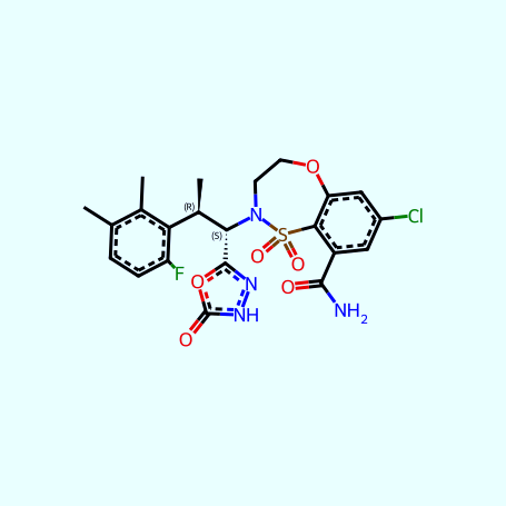 Cc1ccc(F)c([C@@H](C)[C@@H](c2n[nH]c(=O)o2)N2CCOc3cc(Cl)cc(C(N)=O)c3S2(=O)=O)c1C